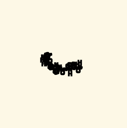 CNC(=O)CCC(NC(=O)CCC(=O)n1nc(N)c2c(-c3ccc(NC(=O)Nc4cc(C)ccc4F)cc3)cccc21)C(=O)O